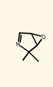 CC1(C)N=CC2OC21